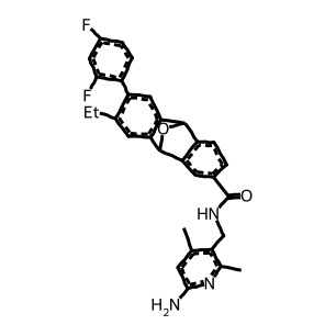 CCc1cc2c(cc1-c1ccc(F)cc1F)C1OC2c2cc(C(=O)NCc3c(C)cc(N)nc3C)ccc21